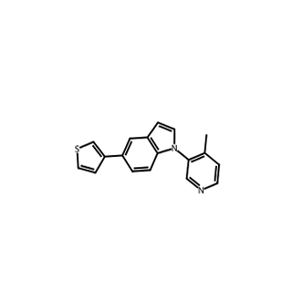 Cc1ccncc1-n1ccc2cc(-c3ccsc3)ccc21